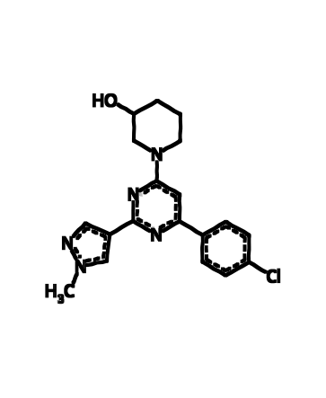 Cn1cc(-c2nc(-c3ccc(Cl)cc3)cc(N3CCCC(O)C3)n2)cn1